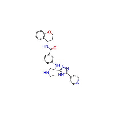 O=C(N[C@H]1CCOc2ccccc21)c1cccc(N[C@]2(c3nnc(-c4ccncc4)[nH]3)CCNC2)c1